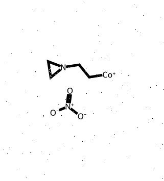 O=[N+]([O-])[O-].[Co+][CH2]CN1CC1